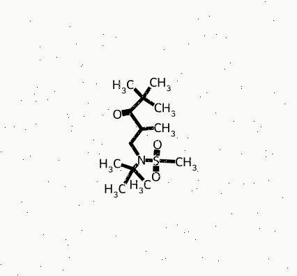 CC(CN(C(C)(C)C)S(C)(=O)=O)C(=O)C(C)(C)C